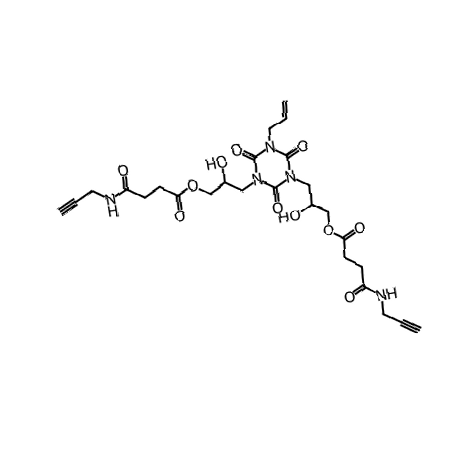 C#CCNC(=O)CCC(=O)OCC(O)Cn1c(=O)n(CC=C)c(=O)n(CC(O)COC(=O)CCC(=O)NCC#C)c1=O